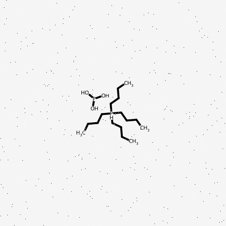 CCCC[PH](CCCC)(CCCC)CCCC.OP(O)O